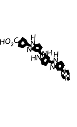 CN1CCN(c2ccc3[nH]c(-c4ccc5c(c4)NC(c4ccc6[nH]c(-c7ccc(C(=O)O)cc7)nc6c4)N5)nc3c2)CC1